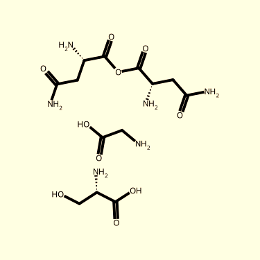 NC(=O)C[C@H](N)C(=O)OC(=O)[C@@H](N)CC(N)=O.NCC(=O)O.N[C@@H](CO)C(=O)O